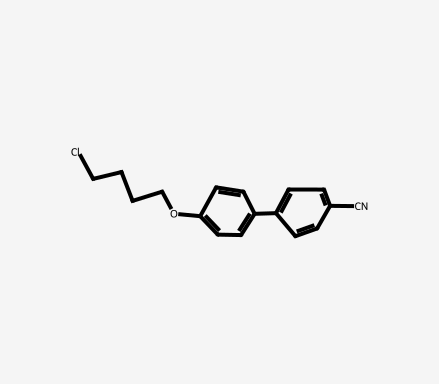 N#Cc1ccc(-c2ccc(OCCCCCl)cc2)cc1